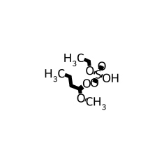 CCCC(=O)OC.CCOS(=O)(=O)O